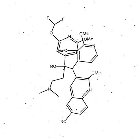 COc1cc(C(O)(CCN(C)C)C(c2cc3cc(C#N)ccc3nc2OC)c2ccnc(OC)c2OC)cc(OC(F)F)n1